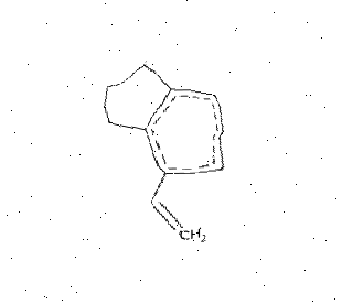 C=Cc1cccc2c1CC[CH]2